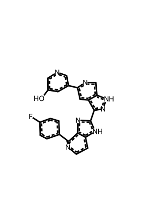 Oc1cncc(-c2cc3c(-c4nc5c(-c6ccc(F)cc6)nccc5[nH]4)n[nH]c3cn2)c1